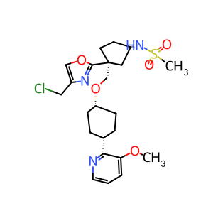 COc1cccnc1[C@H]1CC[C@@H](OC[C@]2(c3nc(CCl)co3)CC[C@H](NS(C)(=O)=O)C2)CC1